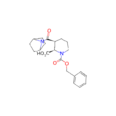 O=C(O)[C@H]1[C@@H](C(=O)N2C3CCC2CC3)CCCN1C(=O)OCc1ccccc1